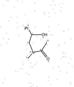 CC(C)C(O)CN(C)C(=O)I